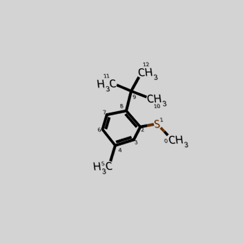 CSc1cc(C)ccc1C(C)(C)C